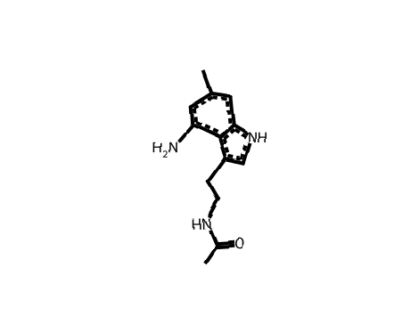 CC(=O)NCCc1c[nH]c2cc(C)cc(N)c12